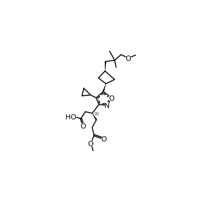 COCC(C)(C)C[C@H]1C[C@@H](c2onc([C@@H](CCC(=O)OC)CC(=O)O)c2C2CC2)C1